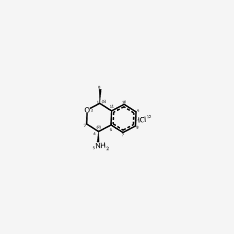 C[C@@H]1OC[C@H](N)c2ccccc21.Cl